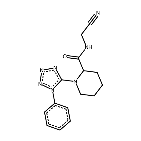 N#CCNC(=O)C1CCCCN1c1nnnn1-c1ccccc1